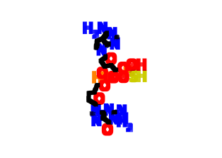 Nc1nc2c(ncn2[C@H]2CCC(CO[PH](=O)OC3CC(n4ccc5c(N)ncnc54)OC3COP(=O)(O)S)O2)c(=O)[nH]1